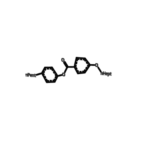 CCCCCCCOc1ccc(C(=O)Oc2ccc(CCCCC)cc2)cc1